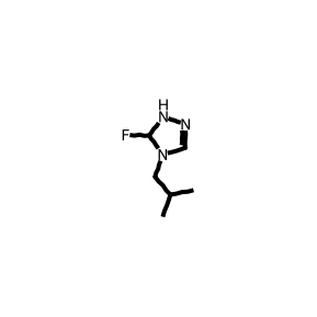 CC(C)CN1C=NNC1F